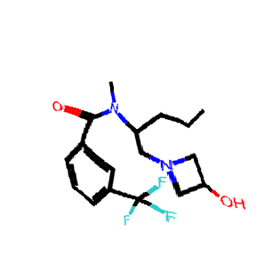 CCCC(CN1CC(O)C1)N(C)C(=O)c1cccc(C(F)(F)F)c1